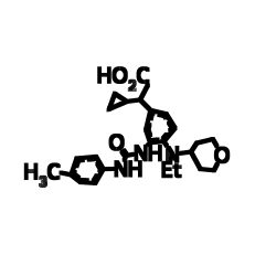 CCN(c1ccc(C(CC(=O)O)C2CC2)cc1NC(=O)Nc1ccc(C)cc1)C1CCOCC1